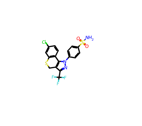 NS(=O)(=O)c1ccc(-n2nc(C(F)(F)F)c3c2-c2ccc(Cl)cc2SC3)cc1